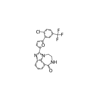 O=C1NCCn2c(-c3ccc(-c4cc(C(F)(F)F)ccc4Cl)o3)nc3cccc1c32